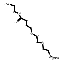 CCCCCCCCCCCCOC(=O)CCCOCCOCCOCCCCCCCCC